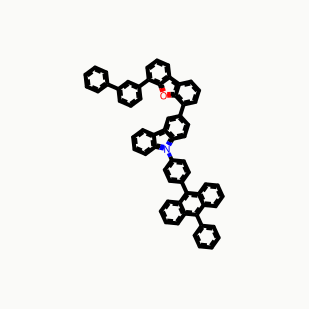 c1ccc(-c2cccc(-c3cccc4c3oc3c(-c5ccc6c(c5)c5ccccc5n6-c5ccc(-c6c7ccccc7c(-c7ccccc7)c7ccccc67)cc5)cccc34)c2)cc1